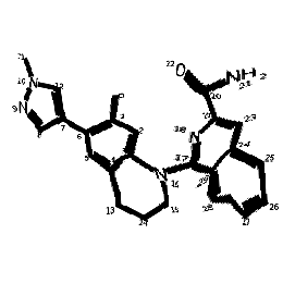 Cc1cc2c(cc1-c1cnn(C)c1)CCCN2c1nc(C(N)=O)cc2ccccc12